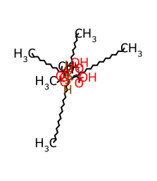 CCCCCCCCCCCCCCCCCC[SH](CCCCCCCCCCCCCCCCCC)(OC(=O)CC)(OC(=O)CC)[SH](CCCCCCCCCCCC)(CCCCCCCCCCCC)(CCC(=O)O)CCC(=O)O